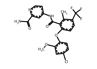 COc1cc(Cl)ccc1Oc1ccc(C(F)(F)F)c(C)c1C(=O)Nc1ccnc(C(N)=O)c1